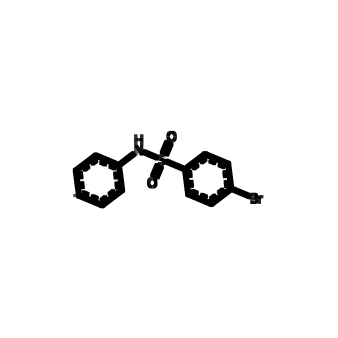 O=S(=O)(Nc1cc[c]cc1)c1ccc(Br)cc1